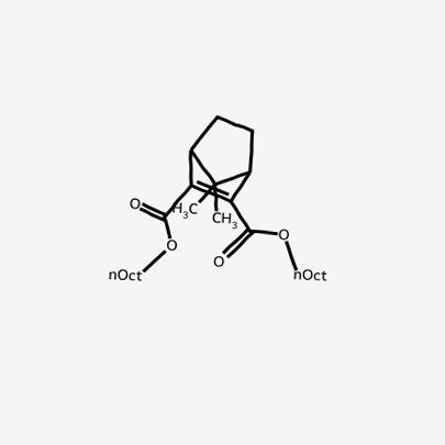 CCCCCCCCOC(=O)C1=C(C(=O)OCCCCCCCC)C2CCC1C2(C)C